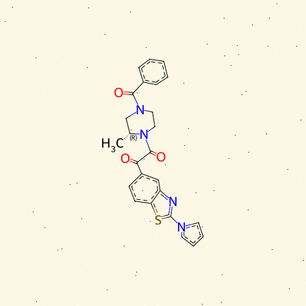 C[C@@H]1CN(C(=O)c2ccccc2)CCN1C(=O)C(=O)c1ccc2sc(-n3cccc3)nc2c1